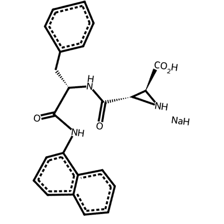 O=C(Nc1cccc2ccccc12)[C@H](Cc1ccccc1)NC(=O)[C@H]1N[C@@H]1C(=O)O.[NaH]